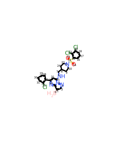 Bc1cnn2c(NCC3CCN(S(=O)(=O)c4cccc(Cl)c4Cl)CC3)cc(-c3ccccc3Cl)nc12